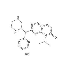 CC(C)n1c(=O)ccc2cnc(N(c3ccccn3)C3CNCCN3)nc21.Cl